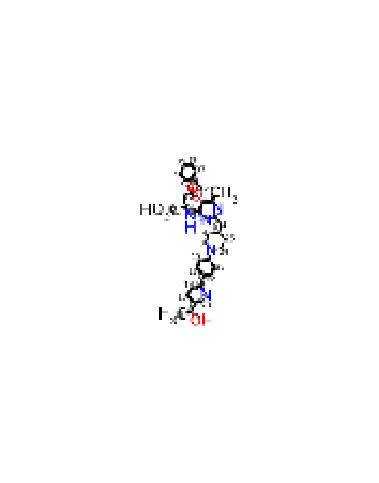 Cc1nc(CC2CCN(c3ccc(-c4ccc(C(C)O)cn4)cc3)CC2)nc(NC(=C=O)C(=O)O)c1OCc1ccccc1